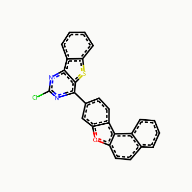 Clc1nc(-c2ccc3c(c2)oc2ccc4ccccc4c23)c2sc3ccccc3c2n1